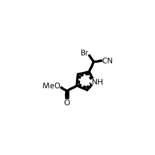 COC(=O)c1c[nH]c(C(Br)C#N)c1